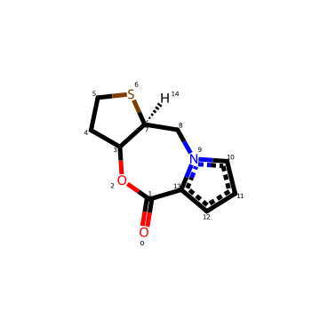 O=C1OC2CCS[C@H]2Cn2cccc21